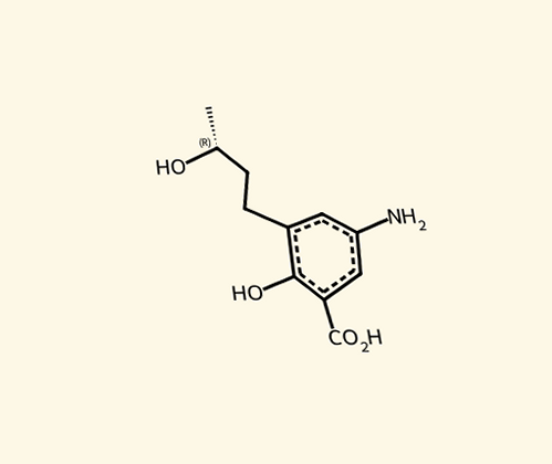 C[C@@H](O)CCc1cc(N)cc(C(=O)O)c1O